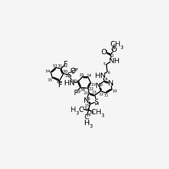 COC(=O)NCCNc1nccc(-c2sc(C(C)(C)C)nc2-c2cccc(N[S+]([O-])c3c(F)cccc3F)c2F)n1